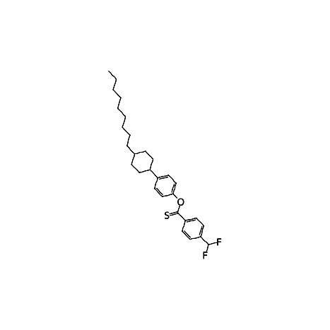 CCCCCCCCCC1CCC(c2ccc(OC(=S)c3ccc(C(F)F)cc3)cc2)CC1